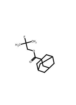 CC(C)(F)COC(=O)C12CC3CC(CC(C3)C1)C2